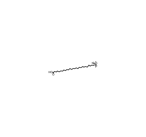 CO[Si](CCCCCCCCCCCCCCCCCCCCCCCCCCC(=O)O)(OC)OC